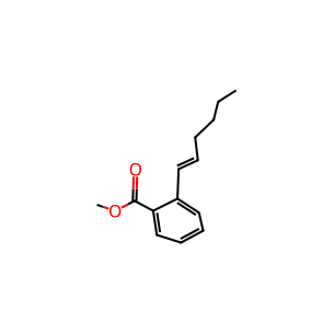 CCCCC=Cc1ccccc1C(=O)OC